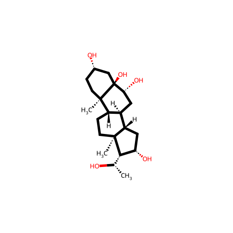 C[C@H](O)[C@H]1[C@@H](O)C[C@H]2[C@@H]3C[C@@H](O)[C@@]4(O)C[C@@H](O)CC[C@]4(C)[C@H]3CC[C@]12C